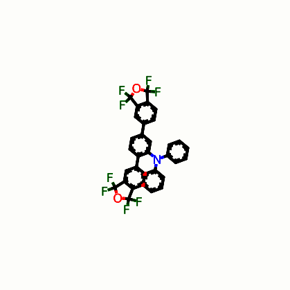 FC1(F)OC(F)(F)c2cc(-c3ccc(-c4ccc5c(c4)C(F)(F)OC5(F)F)c(N(c4ccccc4)c4ccccc4)c3)ccc21